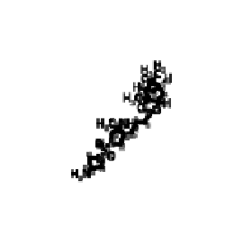 CC1(C)[C@H]2C[C@@H]3OB(CCC[C@H]4CN(S(=O)(=O)N5CC(N)C5)C[C@]4(C)N)O[C@]3(C)[C@@H]1C2